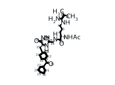 CC(=O)N[C@@H](CCCNC(N)=C(C)C)C(=O)NCC(=O)N[C@@H](Cc1ccc(C(=O)c2ccccc2)cc1)C(N)=O